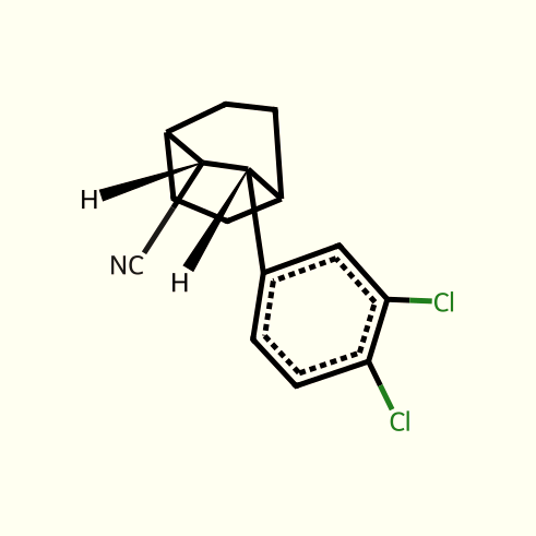 N#C[C@@H]1C2CCC(CC2)[C@@H]1c1ccc(Cl)c(Cl)c1